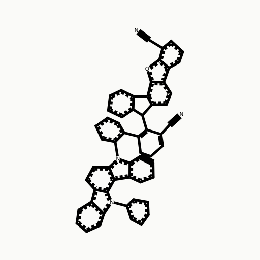 N#CC1=CCCC(c2ccccc2-n2c3c#cccc3c3c2ccc2c4ccccc4n(-c4ccccc4)c23)=C1C1c2ccccc2-c2c1ccc1c2oc2c(C#N)cccc21